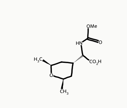 COC(=O)NC(C(=O)O)[C@@H]1C[C@@H](C)O[C@@H](C)C1